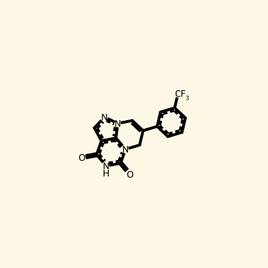 O=c1[nH]c(=O)n2c3c1cnn3C=C(c1cccc(C(F)(F)F)c1)C2